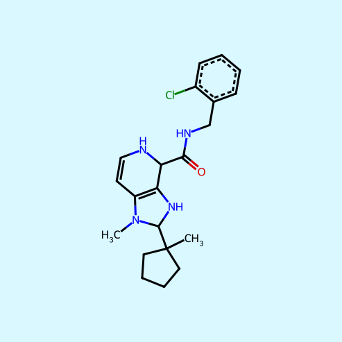 CN1C2=C(NC1C1(C)CCCC1)C(C(=O)NCc1ccccc1Cl)NC=C2